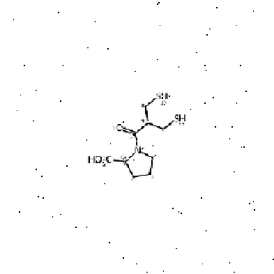 O=C(O)[C@@H]1CCCN1C(=O)C(CS)CS